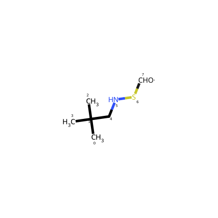 CC(C)(C)CNS[C]=O